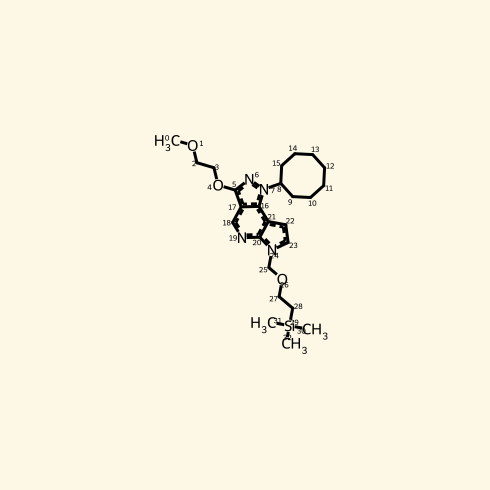 COCCOc1nn(C2CCCCCCC2)c2c1cnc1c2ccn1COCC[Si](C)(C)C